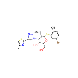 COC1C(Sc2cc(Br)ccc2C#N)OC(CO)C(O)C1n1cc(-c2nc(C)cs2)nn1